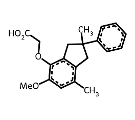 COc1cc(C)c2c(c1OCC(=O)O)CC(C)(c1ccccc1)C2